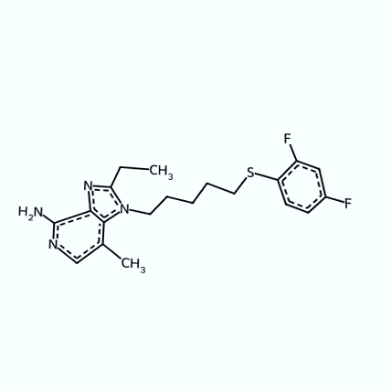 CCc1nc2c(N)ncc(C)c2n1CCCCCSc1ccc(F)cc1F